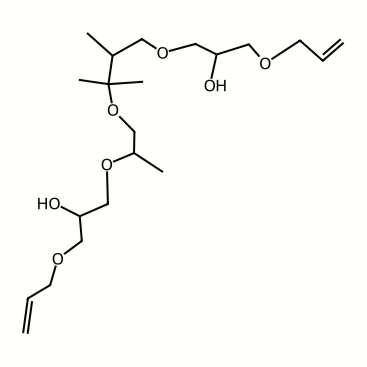 C=CCOCC(O)COCC(C)C(C)(C)OCC(C)OCC(O)COCC=C